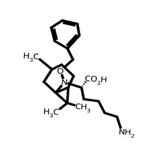 CC1CCC2C(C)(C)C2(N(OCc2ccccc2)[C@@H](CCCCN)C(=O)O)C1